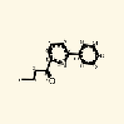 CCCC(=O)c1cccc(-c2ccccc2)n1